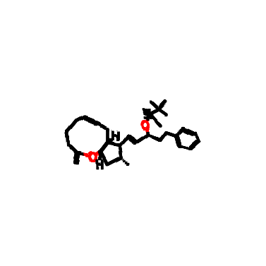 C=C1CCC/C=C\C[C@@H]2[C@@H](/C=C/[C@H](CCc3ccccc3)O[Si](C)(C)C(C)(C)C)[C@H](C)C[C@@H]2O1